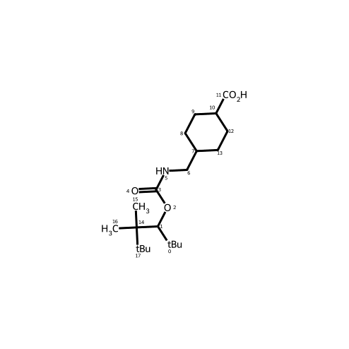 CC(C)(C)C(OC(=O)NCC1CCC(C(=O)O)CC1)C(C)(C)C(C)(C)C